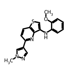 COc1ccccc1Nc1csc2ccc(-c3cnn(C)c3)nc12